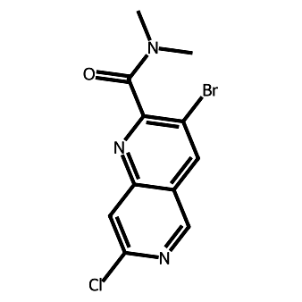 CN(C)C(=O)c1nc2cc(Cl)ncc2cc1Br